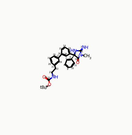 CN1C(=N)N[C@@](c2ccccc2)(c2cccc(-c3cccc(CCNC(=O)OC(C)(C)C)c3)c2)C1=O